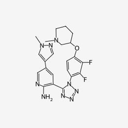 CN1CCCC(Oc2ccc(-n3nnnc3-c3cc(-c4cnn(C)c4)cnc3N)c(F)c2F)C1